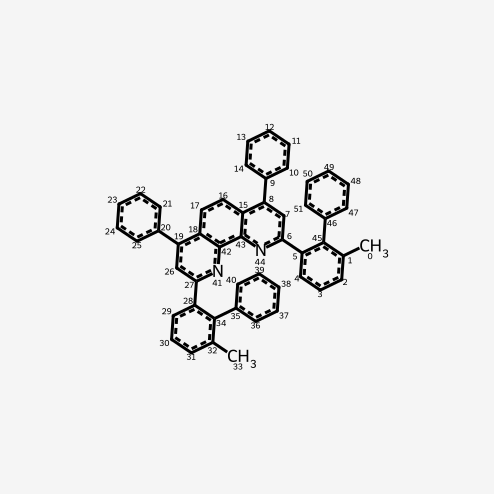 Cc1cccc(-c2cc(-c3ccccc3)c3ccc4c(-c5ccccc5)cc(-c5cccc(C)c5-c5ccccc5)nc4c3n2)c1-c1ccccc1